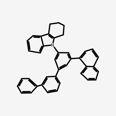 c1ccc(-c2cccc(-c3cc(-c4cccc5ccccc45)cc(-n4c5c(c6ccccc64)CCCC5)c3)c2)cc1